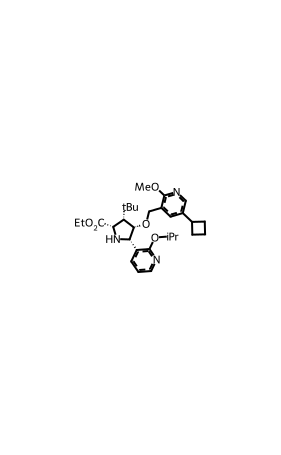 CCOC(=O)[C@H]1N[C@@H](c2cccnc2OC(C)C)[C@@H](OCc2cc(C3CCC3)cnc2OC)[C@H]1C(C)(C)C